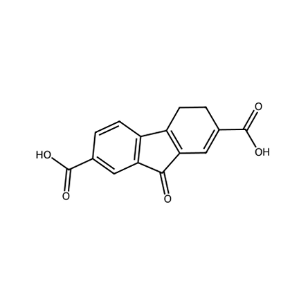 O=C(O)C1=CC2=C(CC1)c1ccc(C(=O)O)cc1C2=O